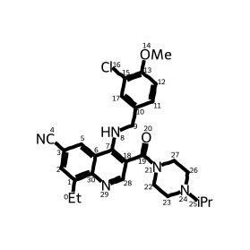 CCc1cc(C#N)cc2c(NCc3ccc(OC)c(Cl)c3)c(C(=O)N3CCN(C(C)C)CC3)cnc12